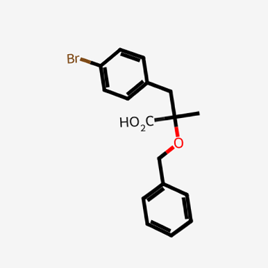 CC(Cc1ccc(Br)cc1)(OCc1ccccc1)C(=O)O